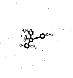 COc1ccc(C#Cc2cc(-c3cc(Cl)ccc3C)n(C(N)=O)c2-c2ccnc(N)n2)cc1